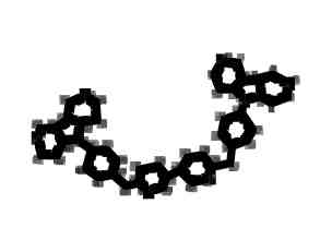 c1cc2c(cn1)c1cnccc1n2-c1ccc(Cc2ccc(-c3ccc(Cc4ccc(-n5c6ccncc6c6cnccc65)cc4)nc3)cn2)cc1